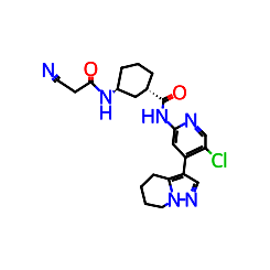 N#CCC(=O)N[C@@H]1CCC[C@H](C(=O)Nc2cc(-c3cnn4c3CCCC4)c(Cl)cn2)C1